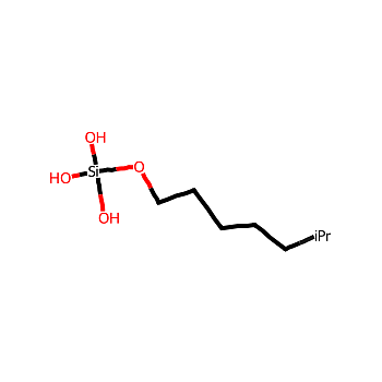 CC(C)CCCCCO[Si](O)(O)O